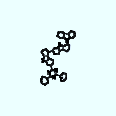 c1ccc(-c2nc(-c3ccccc3)nc(-c3ccc4c(c3)sc3cccc(-c5ccc6c(c5)sc5c(-n7c8ccccc8c8ccccc87)cccc56)c34)n2)cc1